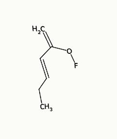 C=C(C=CCC)OF